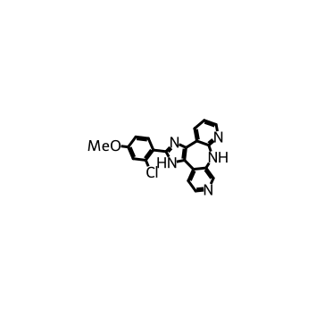 COc1ccc(-c2nc3c([nH]2)-c2ccncc2Nc2ncccc2-3)c(Cl)c1